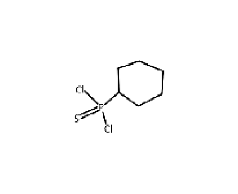 S=P(Cl)(Cl)C1CCCCC1